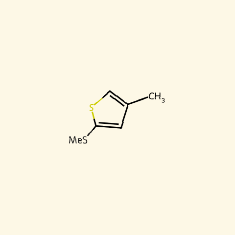 CSc1cc(C)cs1